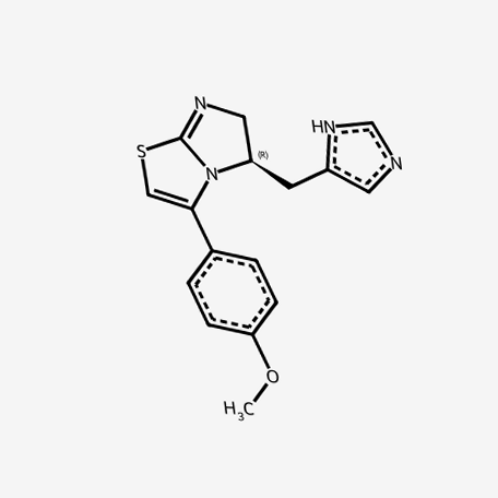 COc1ccc(C2=CSC3=NC[C@@H](Cc4cnc[nH]4)N23)cc1